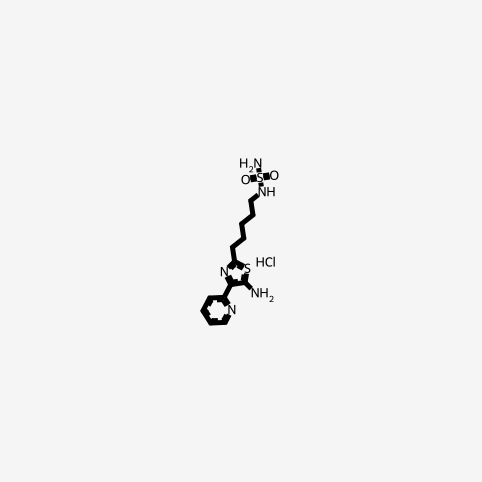 Cl.Nc1sc(CCCCCNS(N)(=O)=O)nc1-c1ccccn1